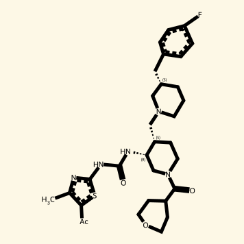 CC(=O)c1sc(NC(=O)N[C@H]2CN(C(=O)C3CCOCC3)CC[C@H]2CN2CCC[C@@H](Cc3ccc(F)cc3)C2)nc1C